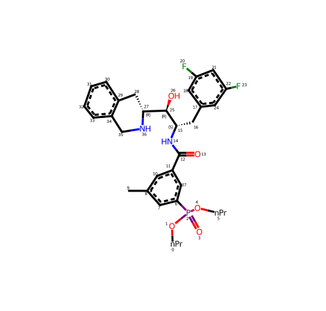 CCCOP(=O)(OCCC)c1cc(C)cc(C(=O)N[C@@H](Cc2cc(F)cc(F)c2)[C@H](O)[C@H]2Cc3ccccc3CN2)c1